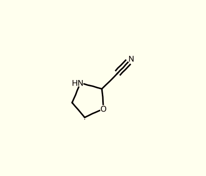 N#CC1NC[CH]O1